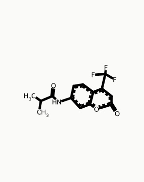 CC(C)C(=O)Nc1ccc2c(C(F)(F)F)cc(=O)oc2c1